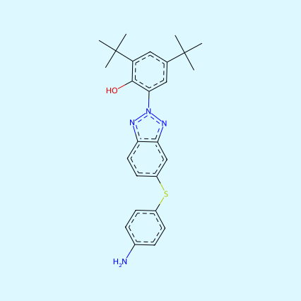 CC(C)(C)c1cc(-n2nc3ccc(Sc4ccc(N)cc4)cc3n2)c(O)c(C(C)(C)C)c1